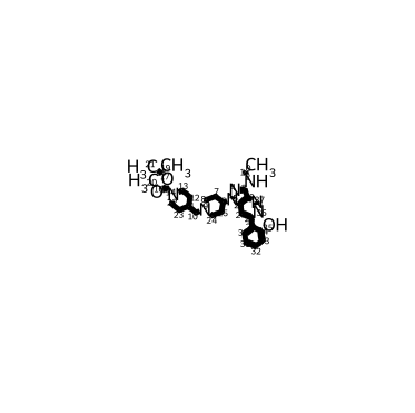 CCNc1nn(C2CCN(CC3CCN(C(=O)OC(C)(C)C)CC3)CC2)c2cc(-c3ccccc3O)nnc12